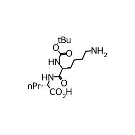 CCC[C@H](NC(=O)[C@H](CCCCN)NC(=O)OC(C)(C)C)C(=O)O